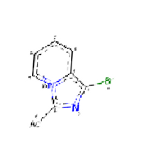 CC(=O)c1nc(Br)c2ccccn12